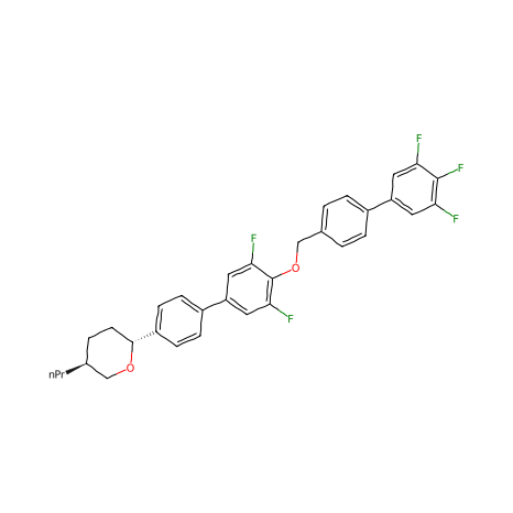 CCC[C@H]1CC[C@H](c2ccc(-c3cc(F)c(OCc4ccc(-c5cc(F)c(F)c(F)c5)cc4)c(F)c3)cc2)OC1